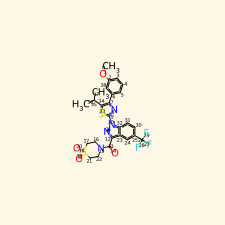 COc1cccc(-c2nc(-n3nc(C(=O)N4CCS(=O)(=O)CC4)c4cc(C(F)(F)F)ccc43)sc2C(C)C)c1